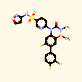 CNC(=O)N(c1ccc(S(=O)(=O)Nc2ccon2)cn1)c1cc(F)c(-c2ccc(F)c(Cl)c2)cc1OC